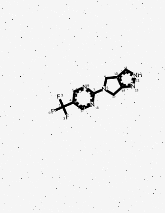 FC(F)(F)c1cnc(N2Cc3c[nH]nc3C2)nc1